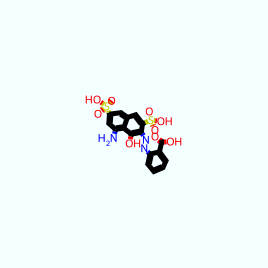 Nc1cc(S(=O)(=O)O)cc2cc(S(=O)(=O)O)c(N=Nc3ccccc3C(=O)O)c(O)c12